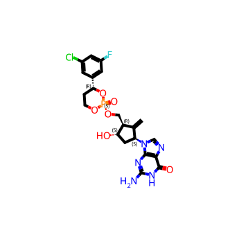 C=C1[C@H](CO[P@]2(=O)OCC[C@H](c3cc(F)cc(Cl)c3)O2)[C@@H](O)C[C@@H]1n1cnc2c(=O)[nH]c(N)nc21